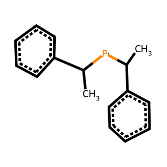 CC([P]C(C)c1ccccc1)c1ccccc1